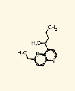 C=C(CCC)c1ccnc2ccc(CC)nc12